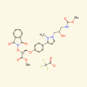 C[n+]1c(-c2ccc(OC[C@H](ON3C(=O)c4ccccc4C3=O)C(=O)OC(C)(C)C)cc2)ccn1CC(O)CNC(=O)OC(C)(C)C.O=C([O-])C(F)(F)F